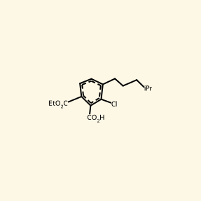 CCOC(=O)c1ccc(CCCC(C)C)c(Cl)c1C(=O)O